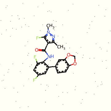 Cc1nn(C)c(F)c1C(=O)Nc1c(F)cc(F)cc1-c1ccc2c(c1)OCO2